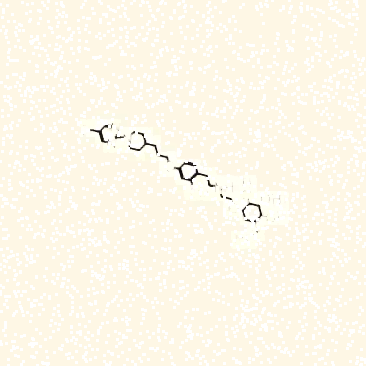 O=C(Cc1ccc(OCCCC2CCN(c3ncc(Cl)cn3)CC2)cc1F)NCCO[C@H]1C[C@H](CO)[C@@H](O)[C@H](O)[C@@H]1O